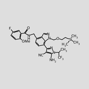 COc1ccc(F)cc1C(=O)NCc1ccc(-c2nn(C(C)C(F)(F)F)c(N)c2C#N)c2c1cnn2COCC[Si](C)(C)C